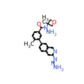 Cc1ccc(C(=O)N(N)C2(C)COC2)cc1-c1ccc2cc(N=NN)ncc2c1